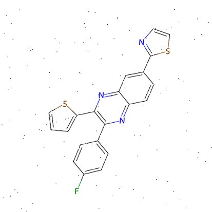 Fc1ccc(-c2nc3ccc(-c4nccs4)cc3nc2-c2cccs2)cc1